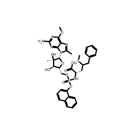 COc1nc(N)nc2c1nc(I)n2[C@@H]1O[C@H](COP(=O)(N[C@@H](CC(Cc2ccccc2)SC)C(=O)O)Oc2cccc3ccccc23)[C@@H](O)[C@@]1(C)O